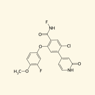 COc1ccc(Oc2cc(-c3cc[nH]c(=O)c3)c(Cl)cc2C(=O)NF)cc1F